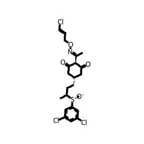 CC(=NOCC=CCl)[C@H]1C(=O)C[C@H](CCC(C)[S+]([O-])c2cc(Cl)cc(Cl)c2)CC1=O